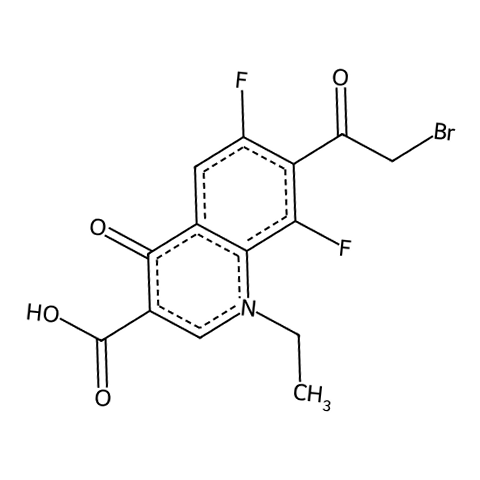 CCn1cc(C(=O)O)c(=O)c2cc(F)c(C(=O)CBr)c(F)c21